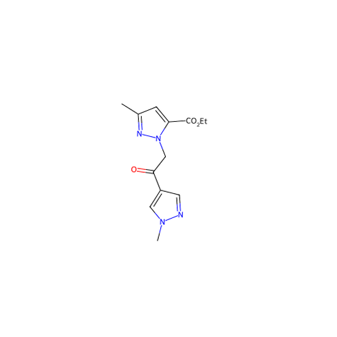 CCOC(=O)c1cc(C)nn1CC(=O)c1cnn(C)c1